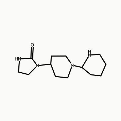 O=C1NCCN1C1CCN(C2CCCCN2)CC1